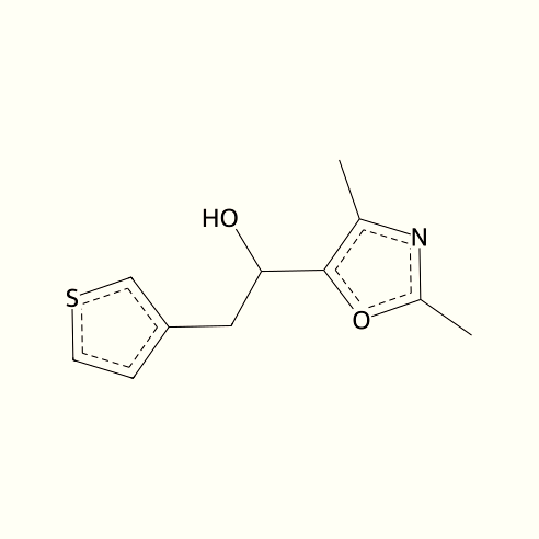 Cc1nc(C)c(C(O)Cc2ccsc2)o1